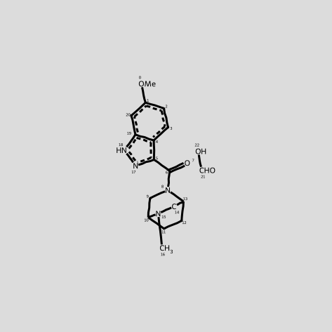 COc1ccc2c(C(=O)N3CC4CCC3CN4C)n[nH]c2c1.O=CO